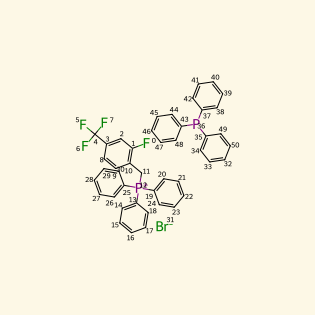 Fc1cc(C(F)(F)F)ccc1C[P+](c1ccccc1)(c1ccccc1)c1ccccc1.[Br-].c1ccc(P(c2ccccc2)c2ccccc2)cc1